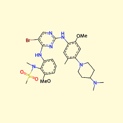 COc1cc(N2CCC(N(C)C)CC2)c(C)cc1Nc1ncc(Br)c(Nc2cccc(OC)c2N(C)S(C)(=O)=O)n1